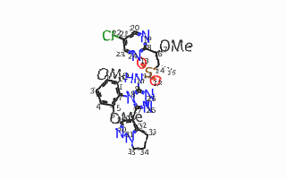 COc1cccc(OC)c1-n1c(NS(=O)(=O)[C@@H](C)[C@H](OC)c2ncc(Cl)cn2)nnc1-c1cnn2c1CCC2